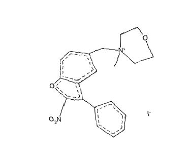 C[N+]1(Cc2ccc3oc([N+](=O)[O-])c(-c4ccccc4)c3c2)CCOCC1.[I-]